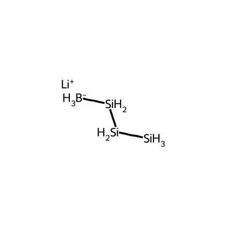 [BH3-][SiH2][SiH2][SiH3].[Li+]